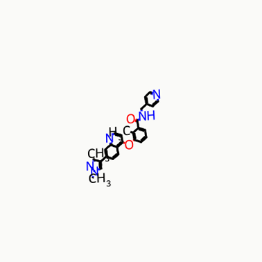 Cc1nn(C)cc1-c1ccc2c(Oc3cccc(C(=O)NCc4ccncc4)c3C)ccnc2c1